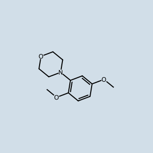 COc1ccc(OC)c(N2CCOCC2)c1